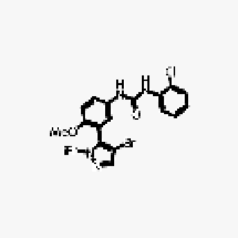 COc1ccc(NC(=O)Nc2ccccc2Cl)cc1-c1c(Br)cnn1C(C)C